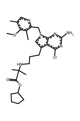 COc1c(C)cnc(Cn2cc(CCCNC(C)(C)C(=O)OC3CCCC3)c3c(Cl)nc(N)nc32)c1C